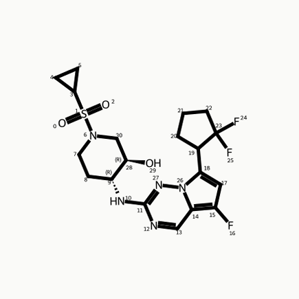 O=S(=O)(C1CC1)N1CC[C@@H](Nc2ncc3c(F)cc(C4CCCC4(F)F)n3n2)[C@H](O)C1